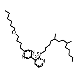 CCCCCCOCCCCc1cnc(-c2cccnc2[SiH2]CCCCC(C)CCC(C)CCCCC)cn1